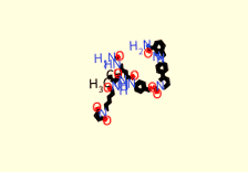 CC(C)[C@H](NC(=O)CCCCCN1C(=O)C=CC1=O)C(=O)NC(CCCNC(N)=O)C(=O)Nc1ccc(COC(=O)N2CCCC(c3ccc(-n4cc5cccc(C(N)=O)c5n4)cc3)C2)cc1